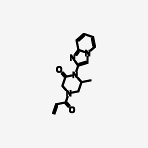 C=CC(=O)N1CC(=O)N(c2cn3ccccc3n2)C(C)C1